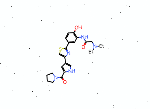 CCN(CC)CC(=O)Nc1cc(-c2nc(-c3c[nH]c(C(=O)N4CCCC4)c3)cs2)ccc1O